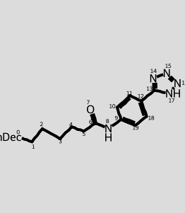 CCCCCCCCCCCCCCCC(=O)Nc1ccc(-c2nnn[nH]2)cc1